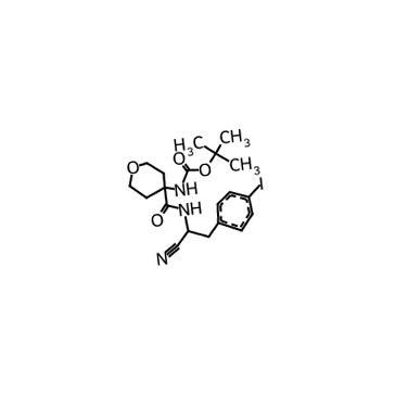 CC(C)(C)OC(=O)NC1(C(=O)NC(C#N)Cc2ccc(I)cc2)CCOCC1